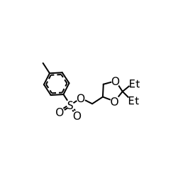 CCC1(CC)OCC(COS(=O)(=O)c2ccc(C)cc2)O1